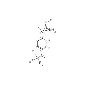 CC[C@@]1(N)C[C@H]1c1ccc(OC(F)(F)F)cc1